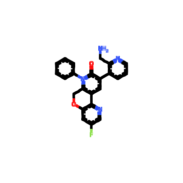 NCc1ncccc1-c1cc2c(n(-c3ccccc3)c1=O)COc1cc(F)cnc1-2